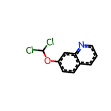 ClC(Cl)Oc1ccc2cccnc2c1